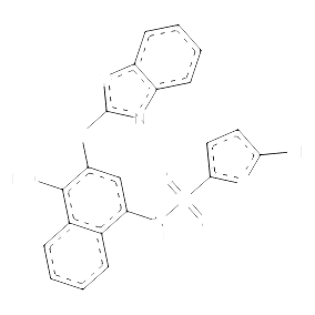 O=S(=O)(Nc1cc(Sc2nc3ccccc3s2)c(O)c2ccccc12)c1ccc(Cl)s1